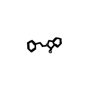 O=C1c2ccccc2CN1CCc1ccccc1